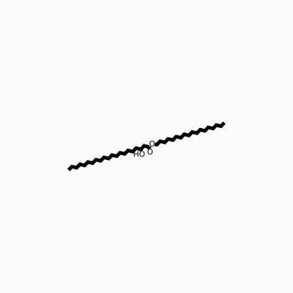 CCCCCCCCCCCCCCCCCCOC(=O)CC(O)CCCCCCCCCCCCCCCCCC